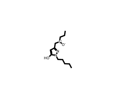 CCCCCn1nc(C[S+]([O-])CCC)cc1O